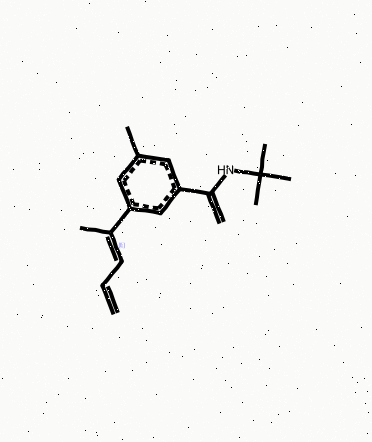 C=C/C=C(\C)c1cc(C)cc(C(=C)NC(C)(C)C)c1